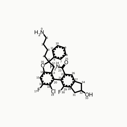 NCCCCC1(c2ccccc2)Cc2c(cc(F)c(Cl)c2-c2c(C(N)=O)cc3c(c2F)CC(O)C3)O1